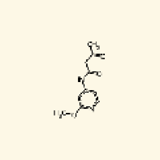 COc1cc(NC(=O)CC(C)=O)ccn1